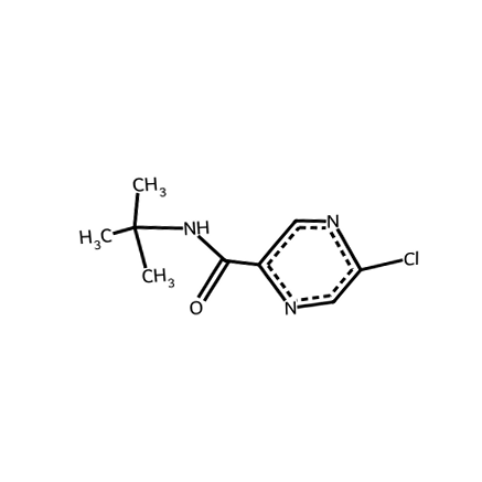 CC(C)(C)NC(=O)c1cnc(Cl)cn1